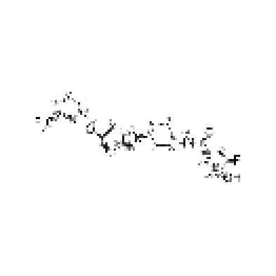 O=C(NC[C@H]1CC[C@H](n2cc3cc(OCc4cccc(C(F)(F)F)n4)ncc3n2)CC1)c1cc(F)c(O)c(F)c1